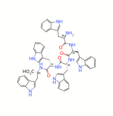 N[C@H](Cc1c[nH]c2ccccc12)C(=O)N[C@@H](Cc1c[nH]c2ccccc12)C(=O)N[C@H](Cc1c[nH]c2ccccc12)C(=O)N[C@@H](Cc1c[nH]c2ccccc12)C(=O)N[C@H](Cc1c[nH]c2ccccc12)C(=O)O